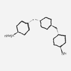 CCCCCCC[C@H]1CC[C@H](C[C@H]2CC[C@H](C[C@H]3CC[C@H](CCC)CC3)CC2)CC1